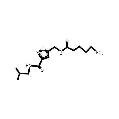 CC(C)CNC(=O)c1cc(CNC(=O)CCCCN)on1